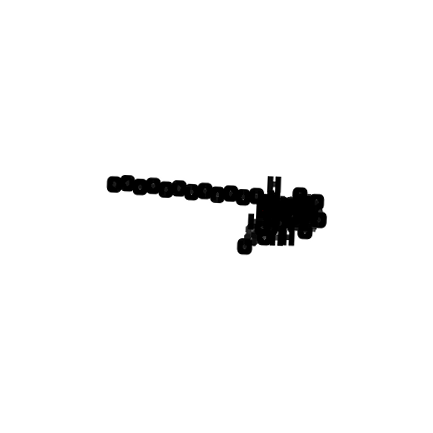 CCC(=O)O[C@]1(C(=O)COCNC(=O)CNC(=O)[C@H](C)NC(=O)[C@H](C)NC(=O)[C@H](C)NC(=O)[C@H](CCCCNC(=O)CCOCCOCCOCCOCCOCCOCCOCCOCCOCCOCCOCCOC)NC(=O)CCN2C(=O)C(Br)=C(Br)C2=O)[C@@H](C)CC2[C@@H]3CCC4=CC(=O)C=C[C@]4(C)[C@@]3(Cl)[C@@H](O)C[C@@]21C